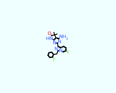 CC1(C)C(=O)Nc2nc(-c3nc(Cc4ccccc4F)n4cc(F)ccc34)nc(N)c21